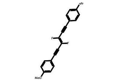 CCCc1ccc(C#C/C(F)=C(\F)C#Cc2ccc(OC)cc2)cc1